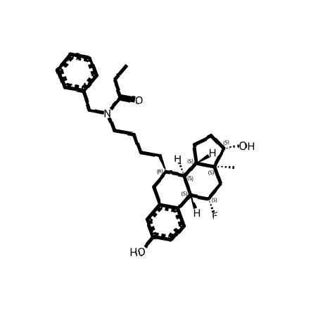 CCC(=O)N(CCCC[C@@H]1Cc2cc(O)ccc2[C@@H]2[C@@H]1[C@@H]1CC[C@H](O)[C@@]1(C)C[C@@H]2F)Cc1ccccc1